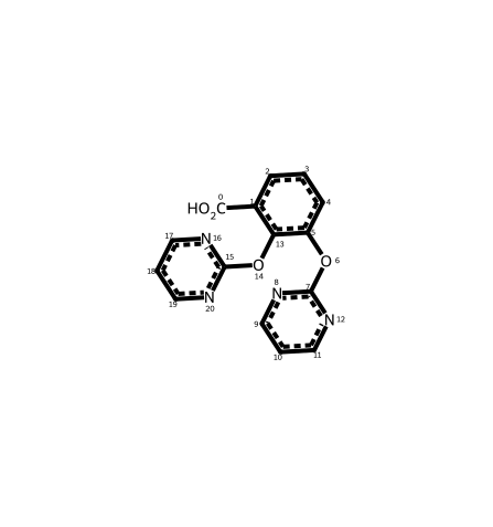 O=C(O)c1cccc(Oc2ncccn2)c1Oc1ncccn1